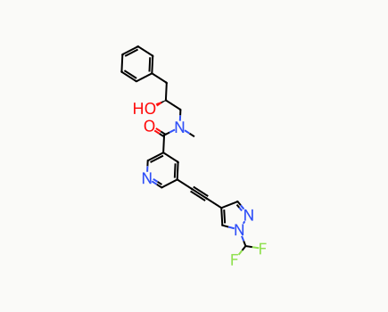 CN(C[C@@H](O)Cc1ccccc1)C(=O)c1cncc(C#Cc2cnn(C(F)F)c2)c1